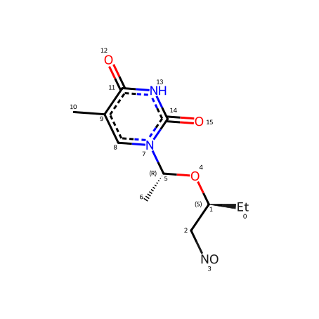 CC[C@@H](CN=O)O[C@H](C)n1cc(C)c(=O)[nH]c1=O